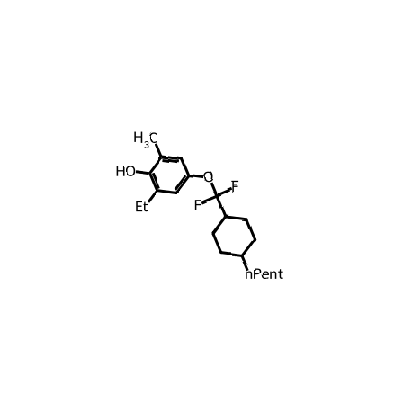 CCCCCC1CCC(C(F)(F)Oc2cc(C)c(O)c(CC)c2)CC1